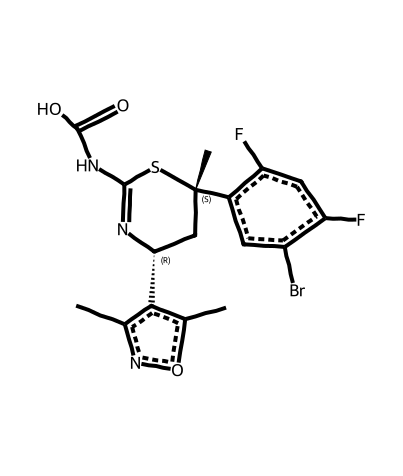 Cc1noc(C)c1[C@H]1C[C@@](C)(c2cc(Br)c(F)cc2F)SC(NC(=O)O)=N1